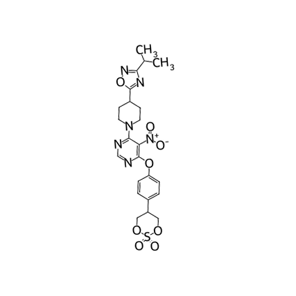 CC(C)c1noc(C2CCN(c3ncnc(Oc4ccc(C5COS(=O)(=O)OC5)cc4)c3[N+](=O)[O-])CC2)n1